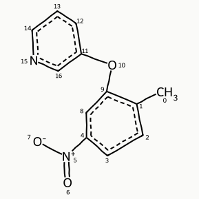 Cc1ccc([N+](=O)[O-])cc1Oc1cccnc1